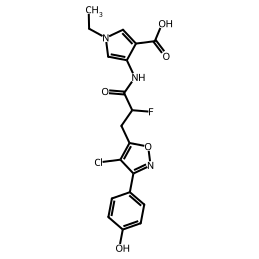 CCn1cc(NC(=O)C(F)Cc2onc(-c3ccc(O)cc3)c2Cl)c(C(=O)O)c1